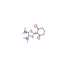 CN(C)C1SC(=C2C(=O)CCCC2=O)SC1N(C)C